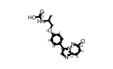 CC(COc1ccc(-c2cnc3ccc(Cl)nn23)cc1)NC(=O)O